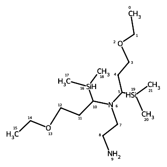 CCOCCC(N(CCN)C(CCOCC)[SiH](C)C)[SiH](C)C